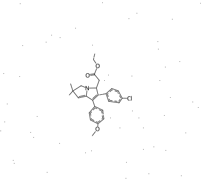 CCOC(=O)CC1C(c2ccc(Cl)cc2)=C(c2ccc(OC)cc2)C2=CC(C)(C)CN21